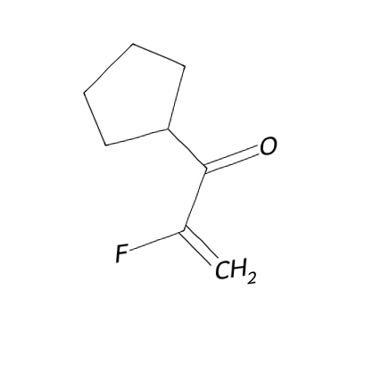 C=C(F)C(=O)C1CCCC1